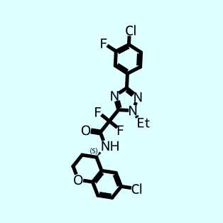 CCn1nc(-c2ccc(Cl)c(F)c2)nc1C(F)(F)C(=O)N[C@H]1CCOc2ccc(Cl)cc21